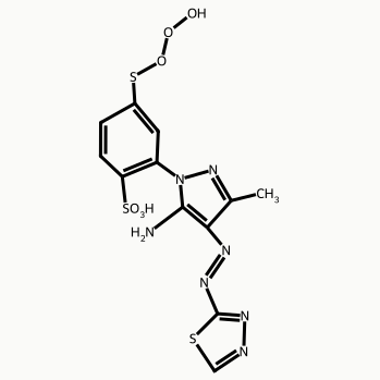 Cc1nn(-c2cc(SOOO)ccc2S(=O)(=O)O)c(N)c1N=Nc1nncs1